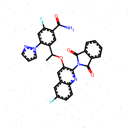 CC(Oc1cc2cc(F)ccc2nc1N1C(=O)c2ccccc2C1=O)c1cc(C(N)=O)c(F)cc1-n1cccn1